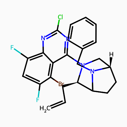 C=CC[C@@H]1C2CC[C@@H](CN1c1nc(Cl)nc3c(F)cc(F)c(Br)c13)N2Cc1ccccc1